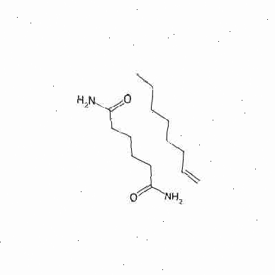 C=CCCCCCC.NC(=O)CCCCC(N)=O